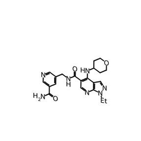 CCn1ncc2c(NC3CCOCC3)c(C(=O)NCc3cncc(C(N)=O)c3)cnc21